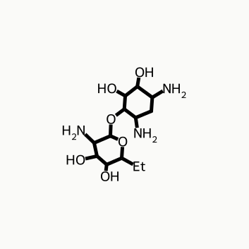 CCC1OC(OC2C(N)CC(N)C(O)C2O)C(N)C(O)C1O